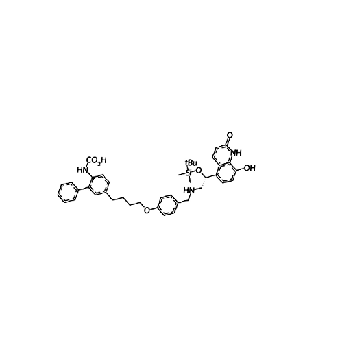 CC(C)(C)[Si](C)(C)O[C@@H](CNCc1ccc(OCCCCc2ccc(NC(=O)O)c(-c3ccccc3)c2)cc1)c1ccc(O)c2[nH]c(=O)ccc12